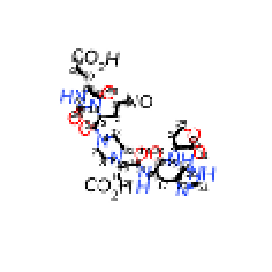 O=NCC[C@@H](C(=O)N1CCN([C@H](CC(=O)O)C(=O)N[C@H](Cc2c[nH]cn2)C(=O)NC2CCOC2=O)CC1)N1C(=O)N[C@H](CCC(=O)O)C1=O